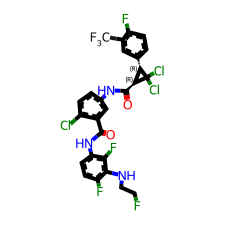 O=C(Nc1ccc(F)c(NCCF)c1F)c1cc(NC(=O)[C@H]2[C@H](c3ccc(F)c(C(F)(F)F)c3)C2(Cl)Cl)ccc1Cl